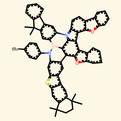 CC(C)(C)c1ccc(N2B3c4cc5c(cc4-n4c6ccc7c8ccccc8oc7c6c6c7c(oc8ccccc87)c(c3c64)-c3cc4c(cc32)sc2cc3c(cc24)C(C)(C)CCC3(C)C)-c2ccccc2C5(C)C)cc1